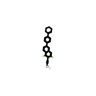 Fc1cc2cc(-c3ccc(C4=CCCCC4)cc3)ccc2c(F)c1C#CC(F)(F)F